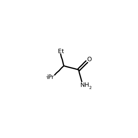 CCC([C](C)C)C(N)=O